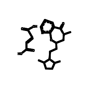 CC1CCC(C)N1CCC1CN(C)C(=O)c2cccnc2O1.O=C(O)/C=C/C(=O)O